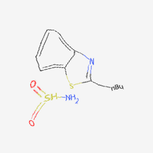 CCCCc1nc2ccccc2s1.N[SH](=O)=O